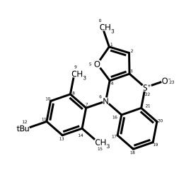 Cc1cc2c(o1)N(c1c(C)cc(C(C)(C)C)cc1C)c1ccccc1[S+]2[O-]